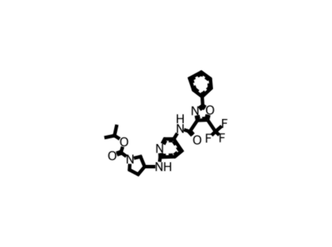 CC(C)OC(=O)N1CCC(Nc2ccc(NC(=O)c3nc(-c4ccccc4)oc3C(F)(F)F)cn2)C1